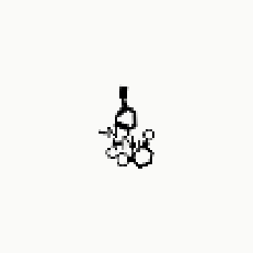 C#Cc1ccc2c(c1)n(C)c(=O)n2N1C(=O)CCCC1=O